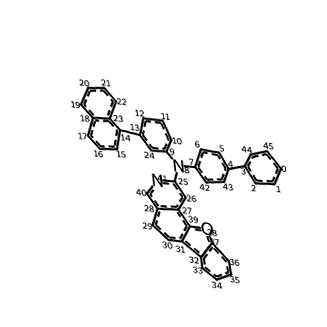 c1ccc(-c2ccc(N(c3cccc(-c4cccc5ccccc45)c3)c3cc4c(ccc5c6ccccc6oc45)cn3)cc2)cc1